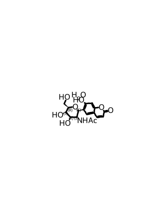 CC(=O)N[C@H]1[C@@H](O)[C@H](O)[C@@H](CO)O[C@H]1c1cc2ccc(=O)oc2cc1O.O